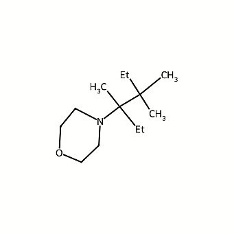 CCC(C)(C)C(C)(CC)N1CCOCC1